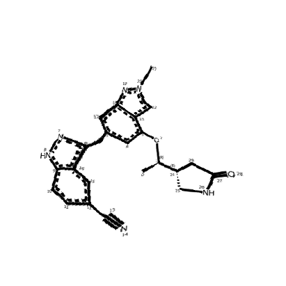 C[C@@H](Oc1cc(-c2n[nH]c3ccc(C#N)cc23)cc2nn(C)cc12)[C@H]1CNC(=O)C1